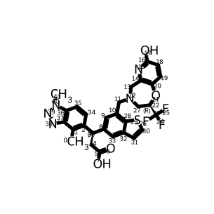 Cc1c([C@H](CC(=O)O)c2cc(CN3Cc4nc(O)ccc4O[C@@H](C(F)(F)F)C3)c3sccc3c2)ccc2c1nnn2C